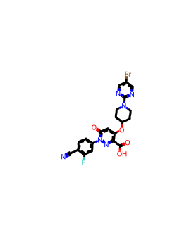 N#Cc1ccc(-n2nc(C(=O)O)c(OC3CCN(c4ncc(Br)cn4)CC3)cc2=O)cc1F